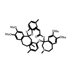 COc1cc2c(cc1OC)C(OC(=O)/C=C\C(=O)OC1(Oc3ccc(C)cc3)CN(C)CCc3cc(OC)c(OC)cc31)(Oc1ccc(C)cc1)CN(C)CC2